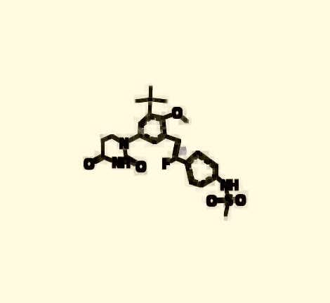 COc1c(/C=C(\F)c2ccc(NS(C)(=O)=O)cc2)cc(N2CCC(=O)NC2=O)cc1C(C)(C)C